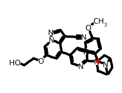 COc1ccc(CN2C3CC2CN(c2ccc(-c4cc(OCCO)cn5ncc(C#N)c45)cn2)C3)nc1